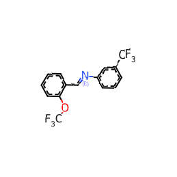 FC(F)(F)Oc1ccccc1/C=N/c1cccc(C(F)(F)F)c1